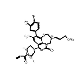 C=CC(=O)N1[C@H](C)CN(c2nc(=O)n3c4c(c(-c5ccc(F)c(Cl)c5)c(C(F)(F)F)cc24)SC[C@@H](CCCOC)C3)C[C@@H]1C